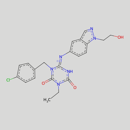 CCn1c(=O)[nH]/c(=N\c2ccc3c(cnn3CCO)c2)n(Cc2ccc(Cl)cc2)c1=O